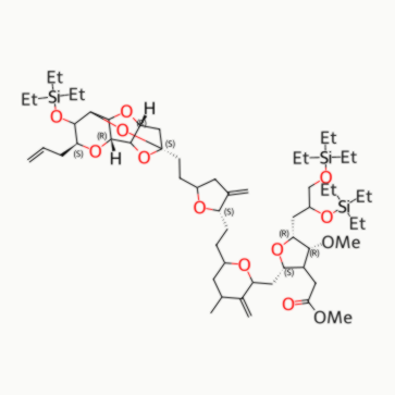 C=CC[C@@H]1O[C@@H]2C3O[C@@H]4C[C@](CCC5CC(=C)[C@H](CCC6CC(C)C(=C)C(C[C@@H]7O[C@H](CC(CO[Si](CC)(CC)CC)O[Si](CC)(CC)CC)[C@H](OC)C7CC(=O)OC)O6)O5)(OC3C1O[Si](CC)(CC)CC)OC24